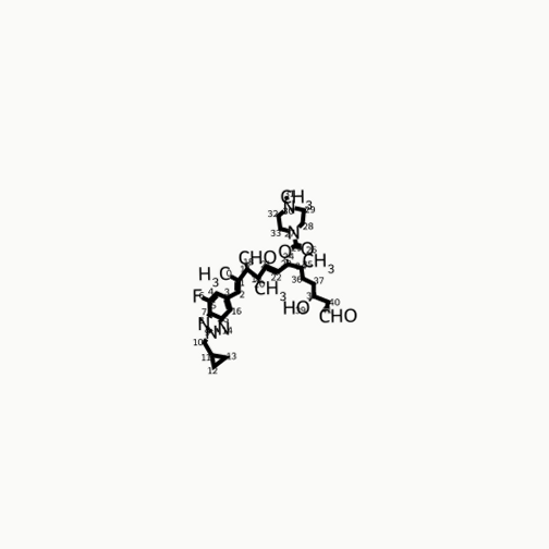 C/C(=C\c1cc(F)c2nn(CC3CC3)nc2c1)[C@@H](C=O)[C@@H](C)/C=C/[C@H](OC(=O)N1CCN(C)CC1)[C@@H](C)CC[C@@H](O)CC=O